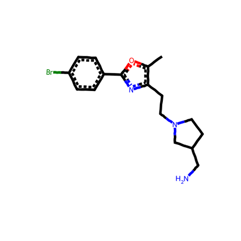 Cc1oc(-c2ccc(Br)cc2)nc1CCN1CCC(CN)C1